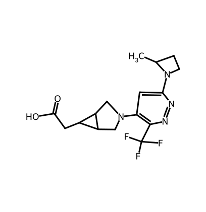 CC1CCN1c1cc(N2CC3C(CC(=O)O)C3C2)c(C(F)(F)F)nn1